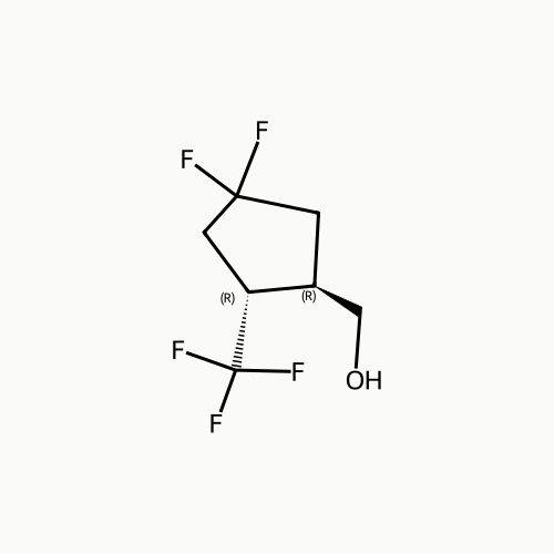 OC[C@@H]1CC(F)(F)C[C@H]1C(F)(F)F